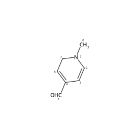 CN1C=CC(C=O)=CC1